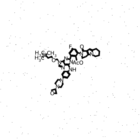 CC(=O)OCc1c(-c2nc(Nc3ccc(N4CCN(C5COC5)CC4)cc3)c3ncn(COCC[Si](C)(C)C)c3n2)cc(F)cc1N1CCc2c(cc3n2CCCC3)C1=O